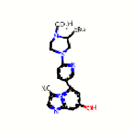 CC(C)(C)C1CN(c2ccc(-c3cc(O)cc4ncc(C#N)n34)cn2)CCN1C(=O)O